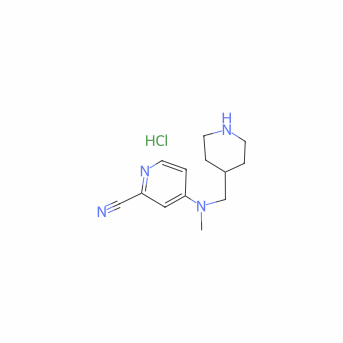 CN(CC1CCNCC1)c1ccnc(C#N)c1.Cl